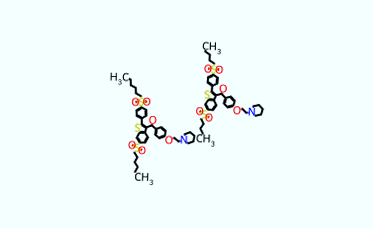 CCCCCCS(=O)(=O)c1ccc(-c2sc3cc(S(=O)(=O)CCCCCC)ccc3c2C(=O)c2ccc(OCCN3CCCCC3)cc2)cc1.CCCCCS(=O)(=O)c1ccc(-c2sc3cc(S(=O)(=O)CCCCC)ccc3c2C(=O)c2ccc(OCCN3CCCCC3)cc2)cc1